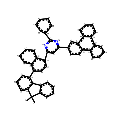 CC1(C)c2ccccc2-c2c(-c3ccc(-c4cc(-c5ccc6c7ccccc7c7ccccc7c6c5)nc(-c5ccccc5)n4)c4ccccc34)cccc21